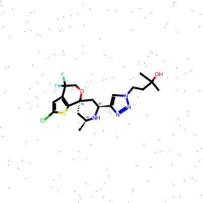 C[C@H]1C[C@@]2(C[C@@H](c3cn(CCC(C)(C)O)nn3)N1)OCC(F)(F)c1cc(Cl)sc12